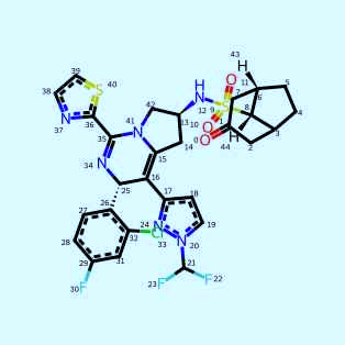 O=C1CC2CC[C@@H](C1)[C@H]2S(=O)(=O)N[C@H]1CC2=C(c3ccn(C(F)F)n3)[C@H](c3ccc(F)cc3Cl)N=C(c3nccs3)N2C1